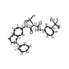 CC1=NN(c2ccc3ccn(-c4ccccc4)c3c2)C(=O)C1C(=O)Nc1cccc(C(C)(F)F)c1